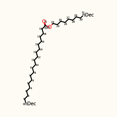 CCCCCCCCCCCCCCCCCCCCCCCCCCCCCC(=O)OCCCCCCCCCCCCCCCCCC